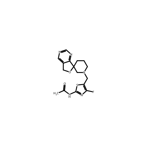 CC(=O)Nc1nc(F)c(CN2CCCC3(C2)OCc2cncnc23)s1